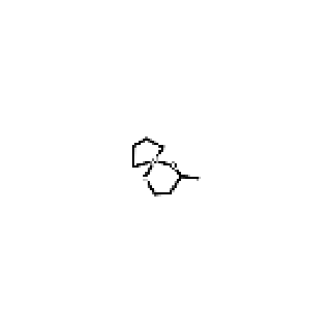 CC1CCO[Si]2(CCCC2)O1